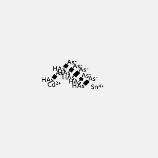 [As-]=[AsH].[As-]=[AsH].[As-]=[AsH].[As-]=[AsH].[As-]=[AsH].[As-]=[AsH].[Cd+2].[Sn+4]